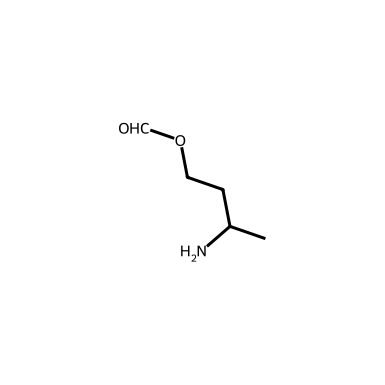 CC(N)CCOC=O